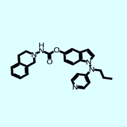 CCCN(c1ccncc1)n1ccc2cc(OC(=O)NN3CCc4ccccc4C3)ccc21